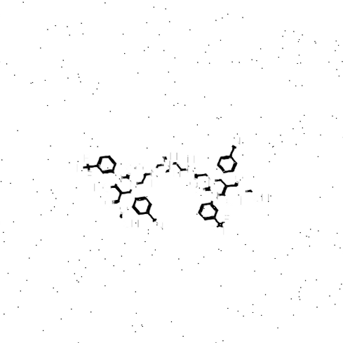 CCOC(=O)C1=C(C)N(c2cccc(C(F)(F)F)c2)C(=O)N(CC(=O)NCC[N+](C)(C)CNC(=O)CN2C(=O)N(c3cccc(C(F)(F)F)c3)C(C)=C(C(=O)OCC)[C@H]2c2ccc(C#N)cc2)[C@@H]1c1ccc(C#N)cc1